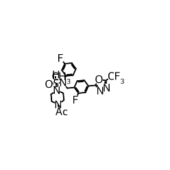 CC(=O)N1CCN([SH](C)(=O)N(Cc2ccc(-c3nnc(C(F)(F)F)o3)cc2F)c2cccc(F)c2)CC1